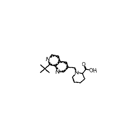 CC(C)(C)c1nccc2cc(CN3CCCCC3C(=O)O)cnc12